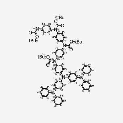 CC(C)(C)OC(=O)Nc1ccc(N(C(=O)OC(C)(C)C)c2ccc(N(C(=O)OC(C)(C)C)c3ccc(N(C(=O)OC(C)(C)C)c4ccc(N(c5ccc(N(c6ccccc6)c6ccccc6)cc5)c5ccc(N(c6ccccc6)c6ccccc6)cc5)cc4)cc3)cc2)cc1